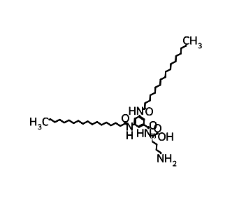 CCCCCCCCCCCCCCCCCC(=O)Nc1cc(NC(=O)CCCCCCCCCCCCCCCCC)cc(C(=O)N[C@@H](CCCCN)C(=O)O)c1